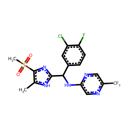 Cc1[nH]c(C(Nc2cnc(C(F)(F)F)cn2)c2ccc(F)c(Cl)c2)nc1S(C)(=O)=O